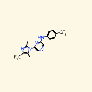 Cc1nc(C(F)(F)F)c(C)n1-c1cncc(Nc2ccc(C(F)(F)F)cc2)n1